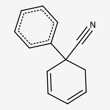 N#CC1(c2ccccc2)C=CC=CC1